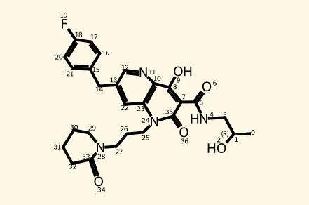 C[C@@H](O)CNC(=O)c1c(O)c2ncc(Cc3ccc(F)cc3)cc2n(CCCN2CCCCC2=O)c1=O